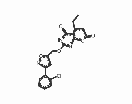 CCc1cc(=O)oc2nc(OCc3cc(-c4ccccc4Cl)no3)[nH]c(=O)c12